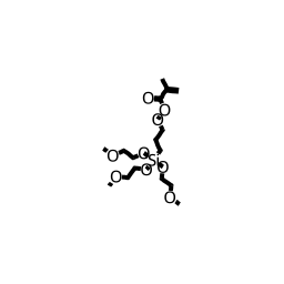 C=C(C)C(=O)OOCCC[Si](OCCOC)(OCCOC)OCCOC